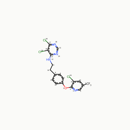 FC(F)(F)c1cnc(Oc2ccc(CCNc3ncnc(Cl)c3Cl)cc2)c(Cl)c1